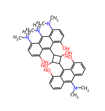 CN(C)c1c2cccc(O)c2c(C2C(O)C(c3c4c(O)ccc(N(C)C)c4c(N(C)C)c4c(N(C)C)ccc(O)c34)C2O)c2c(O)cccc12